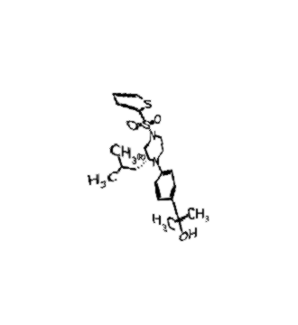 CC(C)C[C@@H]1CN(S(=O)(=O)c2cccs2)CCN1c1ccc(C(C)(C)O)cc1